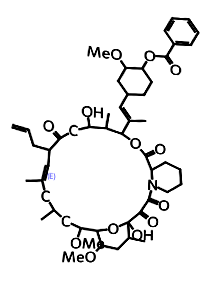 C=CCC1/C=C(\C)CC(C)CC(OC)C2OC(O)(C(=O)C(=O)N3CCCCC3C(=O)OC(C(C)=CC3CCC(OC(=O)c4ccccc4)C(OC)C3)C(C)C(O)CC1=O)C(C)CC2OC